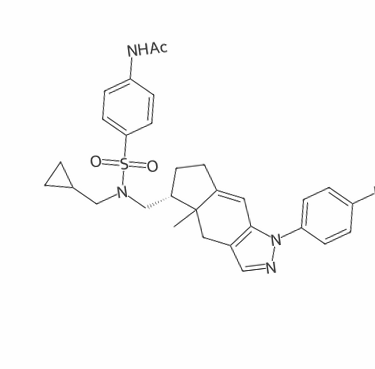 CC(=O)Nc1ccc(S(=O)(=O)N(CC2CC2)C[C@@H]2CCC3=Cc4c(cnn4-c4ccc(F)cc4)CC32C)cc1